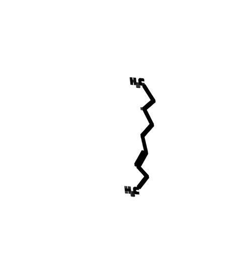 CC[CH]CC/C=C/CC